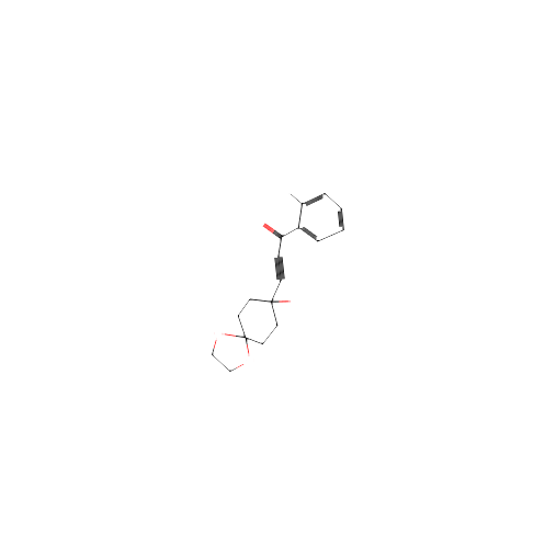 Cc1ccccc1C(=O)C#CC1(O)CCC2(CC1)OCCO2